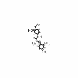 CC(=O)Cc1ccc(NC(=O)C(C)Oc2ccc(C)cc2C)cc1O